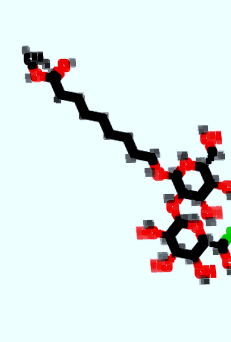 COC(=O)CCCCCCCCO[C@H]1O[C@H](CO)[C@@H](O)[C@H](O)[C@H]1O[C@H]1O[C@H](C(O)Cl)[C@@H](O)[C@H](O)[C@H]1O